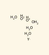 O.O.O.O.O.O.[Y]